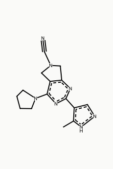 Cc1[nH]ncc1-c1nc2c(c(N3CCCC3)n1)CN(C#N)C2